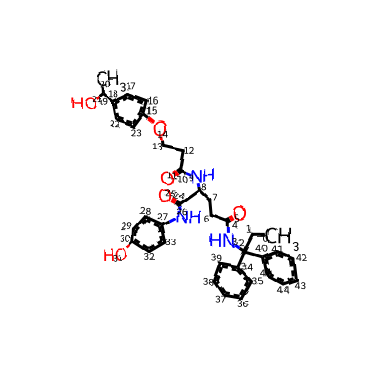 CCC(NC(=O)CCC(NC(=O)CCOc1ccc(C(C)O)cc1)C(=O)Nc1ccc(O)cc1)(c1ccccc1)c1ccccc1